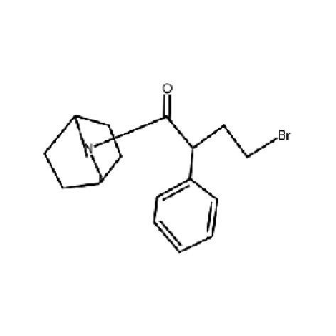 O=C(C(CCBr)c1ccccc1)N1CC2CCC(CC2)C1